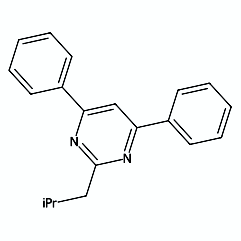 CC(C)Cc1nc(-c2ccccc2)cc(-c2ccccc2)n1